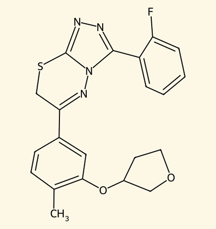 Cc1ccc(C2=Nn3c(nnc3-c3ccccc3F)SC2)cc1OC1CCOC1